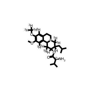 [2H]c1c2c(c([2H])c(OC)c1OC([2H])([2H])[2H])C1N(CC2)C([2H])([2H])C([2H])(CC(C)C)C([2H])(OC(=O)[C@@H](N)C(C)C)C1([2H])[2H]